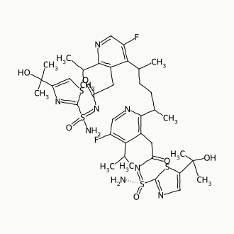 CC(C)c1ncc(F)c(C(C)CCC(C)c2ncc(F)c(C(C)C)c2CC(=O)N=[S@](N)(=O)c2ncc(C(C)(C)O)s2)c1CC(=O)N=S(N)(=O)c1nc(C(C)(C)O)cs1